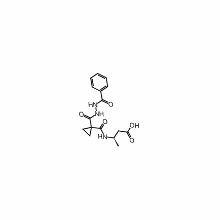 C[C@H](CC(=O)O)NC(=O)C1(C(=O)NNC(=O)c2ccccc2)CC1